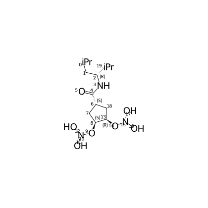 CC(C)C[C@@H](NC(=O)[C@H]1C[C@H](ON(O)O)[C@H](ON(O)O)C1)C(C)C